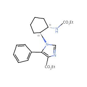 CCOC(=O)N[C@H]1CCCC[C@@H]1n1cnc(C(=O)OCC)c1-c1ccccc1